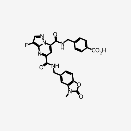 Cn1c(=O)oc2ccc(CNC(=O)c3cc(C(=O)NCc4ccc(C(=O)O)cc4)n4ncc(F)c4n3)cc21